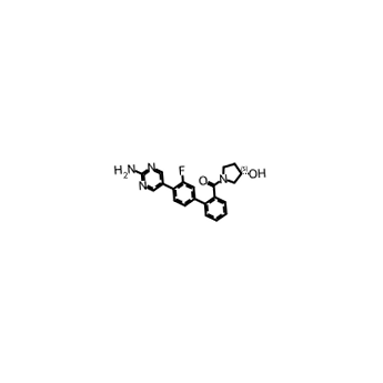 Nc1ncc(-c2ccc(-c3ccccc3C(=O)N3CC[C@H](O)C3)cc2F)cn1